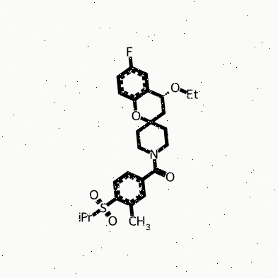 CCO[C@@H]1CC2(CCN(C(=O)c3ccc(S(=O)(=O)C(C)C)c(C)c3)CC2)Oc2ccc(F)cc21